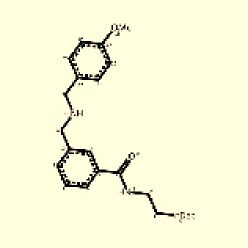 CCCCCCCCCCCCNC(=O)c1cccc(CNCc2ccc(OC)cc2)c1